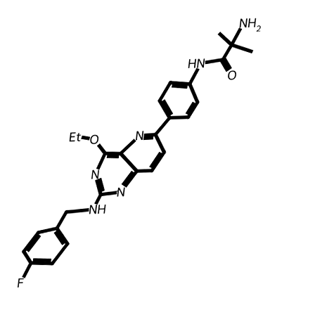 CCOc1nc(NCc2ccc(F)cc2)nc2ccc(-c3ccc(NC(=O)C(C)(C)N)cc3)nc12